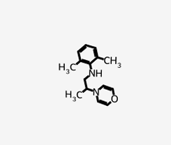 Cc1cccc(C)c1NCC(C)N1C=COC=C1